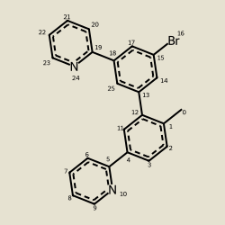 Cc1ccc(-c2ccccn2)cc1-c1cc(Br)cc(-c2ccccn2)c1